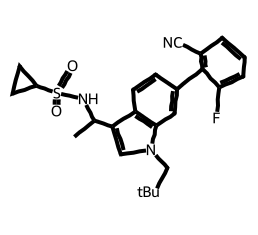 CC(NS(=O)(=O)C1CC1)c1cn(CC(C)(C)C)c2cc(-c3c(F)cccc3C#N)ccc12